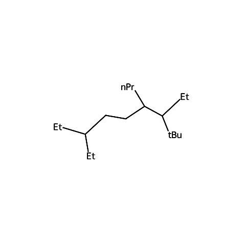 [CH2]C(C)(C)C(CC)C(CCC)CCC(CC)CC